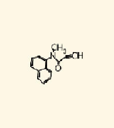 C#CC(=O)N(C)c1cccc2ccccc12